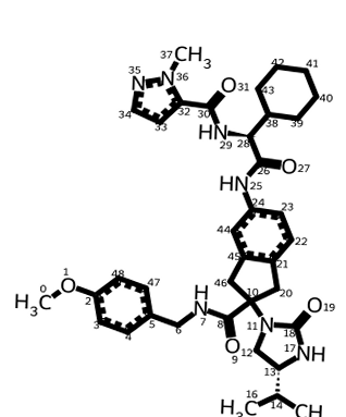 COc1ccc(CNC(=O)C2(N3C[C@@H](C(C)C)NC3=O)Cc3ccc(NC(=O)[C@@H](NC(=O)c4ccnn4C)C4CCCCC4)cc3C2)cc1